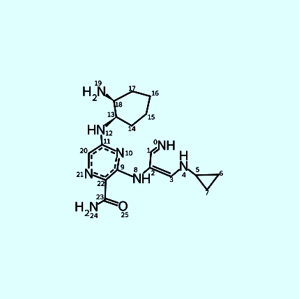 N=C/C(=C\NC1CC1)Nc1nc(N[C@@H]2CCCC[C@@H]2N)cnc1C(N)=O